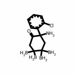 BC1(B)CC(=O)C(N)(c2ccccc2Cl)CC1(B)B